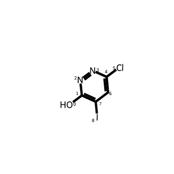 Oc1nnc(Cl)cc1I